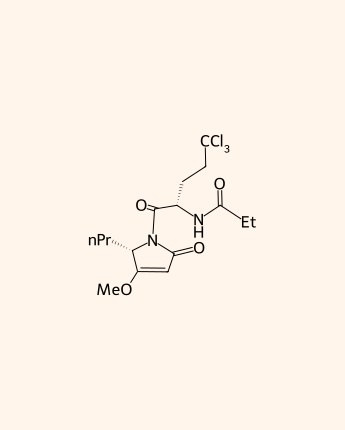 CCC[C@H]1C(OC)=CC(=O)N1C(=O)[C@H](CCC(Cl)(Cl)Cl)NC(=O)CC